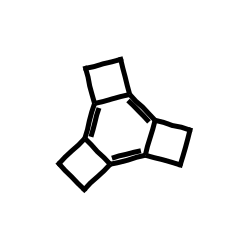 C1Cc2c1c1c(c3c2CC3)CC1